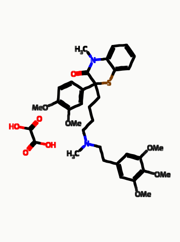 COc1ccc(C2(CCCCN(C)CCc3cc(OC)c(OC)c(OC)c3)Sc3ccccc3N(C)C2=O)cc1OC.O=C(O)C(=O)O